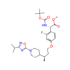 COC(=O)[C@@H](NC(=O)OC(C)(C)C)c1ccc(OCC[C@@H](C)C2CCN(c3nc(C(C)C)no3)CC2)cc1F